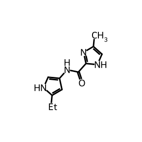 CCc1cc(NC(=O)c2nc(C)c[nH]2)c[nH]1